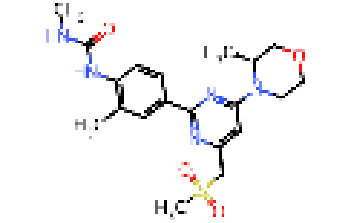 CNC(=O)Nc1ccc(-c2nc(CS(C)(=O)=O)cc(N3CCOC[C@@H]3C)n2)cc1C